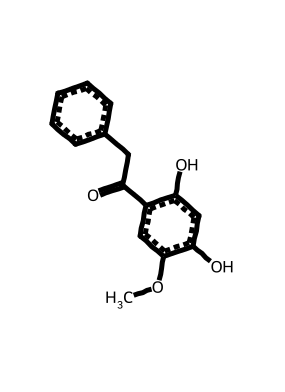 COc1cc(C(=O)Cc2ccccc2)c(O)cc1O